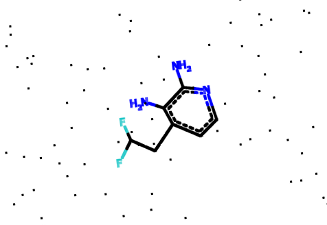 Nc1nccc(CC(F)F)c1N